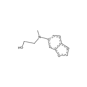 CN(CCO)c1ccc2ccoc2c1